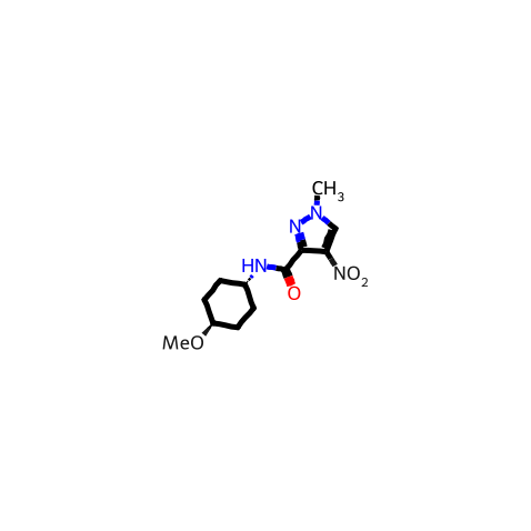 CO[C@H]1CC[C@H](NC(=O)c2nn(C)cc2[N+](=O)[O-])CC1